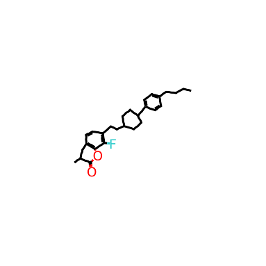 CCCCc1ccc(C2CCC(CCc3ccc4c(c3F)OC(=O)C(C)C4)CC2)cc1